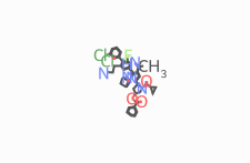 Cc1nc2c(F)c(-c3cccc(Cl)c3Cl)c(CCC#N)cc2c2c1cc(C1CC(OC(=O)c3ccccc3)CN1C(=O)C1CC1)n2C1C2CNC1C2